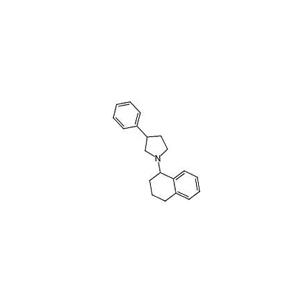 c1ccc(C2CCN(C3CCCc4ccccc43)C2)cc1